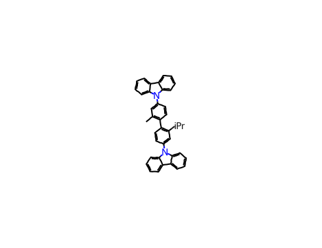 Cc1cc(-n2c3ccccc3c3ccccc32)ccc1-c1ccc(-n2c3ccccc3c3ccccc32)cc1C(C)C